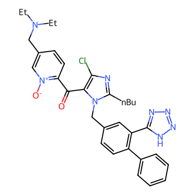 CCCCc1nc(Cl)c(C(=O)c2ccc(CN(CC)CC)c[n+]2[O-])n1Cc1ccc(-c2ccccc2)c(-c2nnn[nH]2)c1